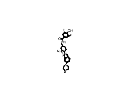 CN1CCN(c2ccc3cn(C4CCC(CNC(=O)c5cc(F)c(O)c(F)c5)CC4)nc3c2)CC1.N